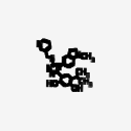 CC(C)c1cc(-c2nnc(SCc3cccnc3)n2-c2ccc3c(ccn3C)c2)c(O)cc1O